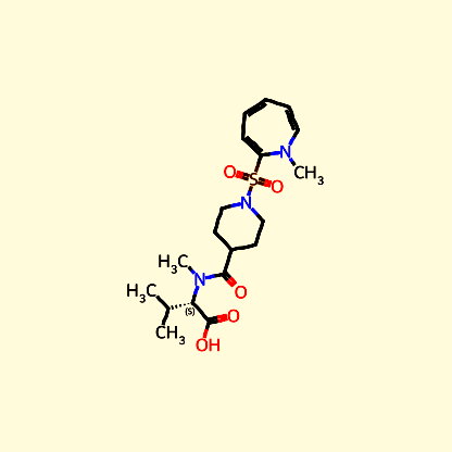 CC(C)[C@@H](C(=O)O)N(C)C(=O)C1CCN(S(=O)(=O)C2=CC=CC=CN2C)CC1